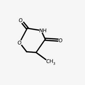 CC1COC(=O)NC1=O